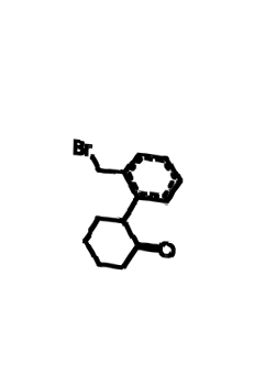 O=C1CCCCC1c1ccccc1CBr